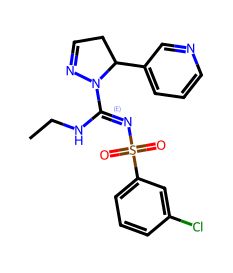 CCN/C(=N\S(=O)(=O)c1cccc(Cl)c1)N1N=CCC1c1cccnc1